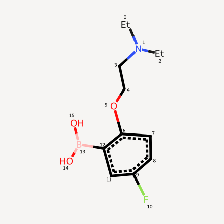 CCN(CC)CCOc1ccc(F)cc1B(O)O